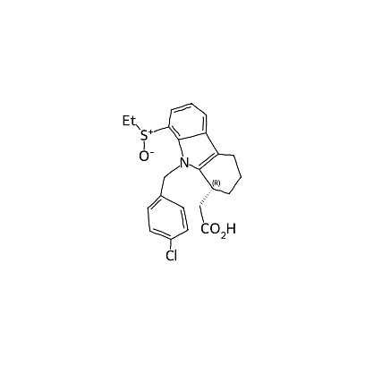 CC[S+]([O-])c1cccc2c3c(n(Cc4ccc(Cl)cc4)c12)[C@@H](CC(=O)O)CCC3